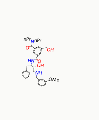 CCCN(CCC)C(=O)c1cc(CO)cc(C(=O)N[C@@H](Cc2ccccc2)[C@H](O)CNCc2cccc(OC)c2)c1